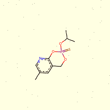 Cc1cnc2c(c1)COP(=S)(OC(C)C)O2